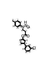 Cc1ccc(N(CCC(=O)Oc2cc(-c3cccc(Cl)c3)cs2)[SH]=O)cc1